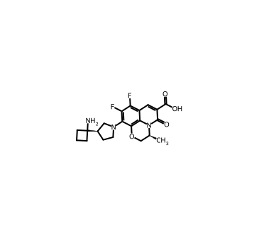 C[C@H]1COc2c(N3CC[C@@H](C4(N)CCC4)C3)c(F)c(F)c3cc(C(=O)O)c(=O)n1c23